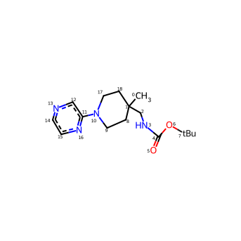 CC1(CNC(=O)OC(C)(C)C)CCN(c2cnccn2)CC1